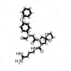 N=C(N)CCCNC(=O)[C@@H]1CC2(CN1C(=O)CN(C=O)c1ccc(Oc3ccccc3)cc1)OCCO2